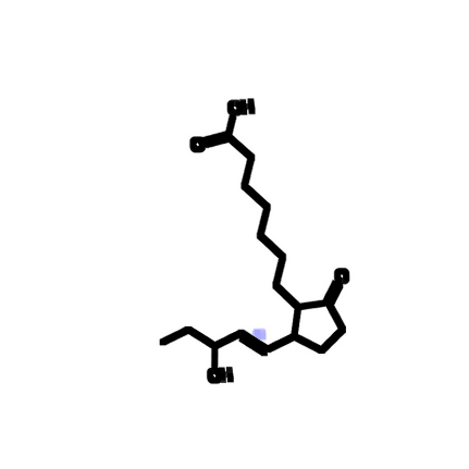 CCC(O)/C=C/C1CCC(=O)C1CCCCCCC(=O)O